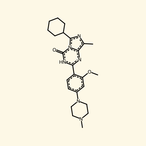 COc1cc(N2CCN(C)CC2)ccc1-c1nc2c(C)nc(C3CCCCC3)n2c(=O)[nH]1